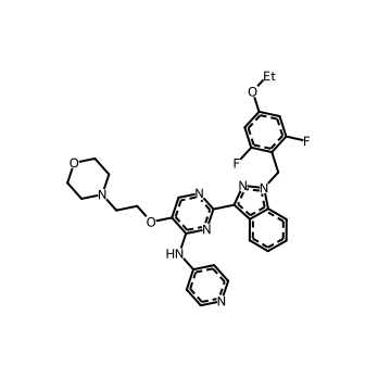 CCOc1cc(F)c(Cn2nc(-c3ncc(OCCN4CCOCC4)c(Nc4ccncc4)n3)c3ccccc32)c(F)c1